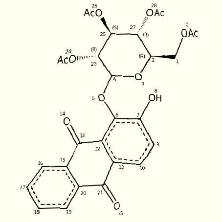 CC(=O)OC[C@H]1OC(Oc2c(O)ccc3c2C(=O)c2ccccc2C3=O)[C@H](OC(C)=O)[C@@H](OC(C)=O)[C@@H]1OC(C)=O